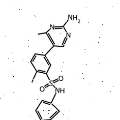 Cc1ccc(-c2cnc(N)nc2C)cc1S(=O)(=O)Nc1ccccc1